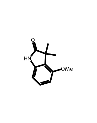 COc1cccc2c1C(C)(C)C(=O)N2